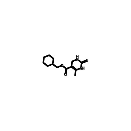 CC1=C(C(=O)OCC2CCCCC2)CNC(=S)N1